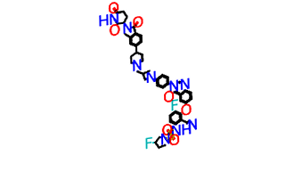 N#Cc1c(NS(=O)(=O)N2CC[C@@H](F)C2)ccc(F)c1Oc1ccc2ncn(-c3ccc(N4CC(CN5CCC(c6ccc7c(c6)CN([C@H]6CCC(=O)NC6=O)C7=O)CC5)C4)cc3)c(=O)c2c1